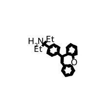 CCC(N)(CC)c1ccc(C2=Cc3ccccc3Oc3ccccc32)cc1